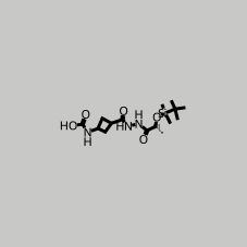 C[C@@H](O[Si](C)(C)C(C)(C)C)C(=O)NNC(=O)C1CC(NC(=O)O)C1